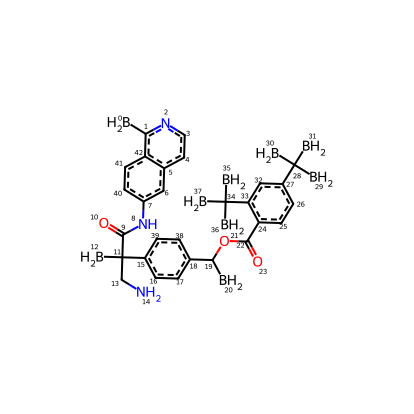 Bc1nccc2cc(NC(=O)C(B)(CN)c3ccc(C(B)OC(=O)c4ccc(C(B)(B)B)cc4C(B)(B)B)cc3)ccc12